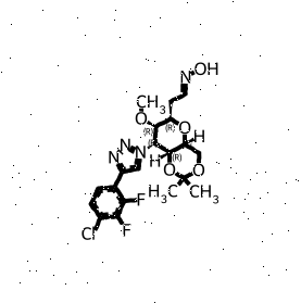 CO[C@@H]1[C@@H](n2cc(-c3ccc(Cl)c(F)c3F)nn2)[C@H]2OC(C)(C)OC[C@H]2O[C@@H]1CC=NO